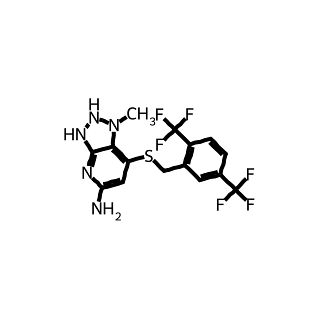 CN1NNc2nc(N)cc(SCc3cc(C(F)(F)F)ccc3C(F)(F)F)c21